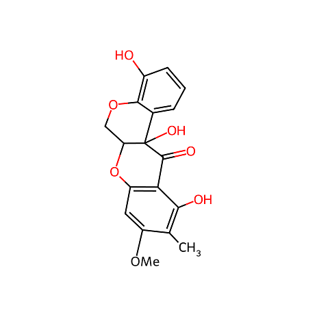 COc1cc2c(c(O)c1C)C(=O)C1(O)c3cccc(O)c3OCC1O2